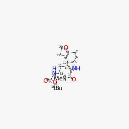 CNC(=O)c1[nH]c2ccc3c(c2c1CCNC(=O)OC(C)(C)C)CCO3